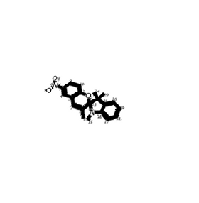 CC1=Cc2cc([N+](=O)[O-])ccc2OC12N(C)c1ccccc1C2(C)C